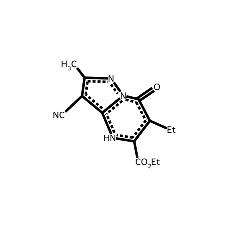 CCOC(=O)c1[nH]c2c(C#N)c(C)nn2c(=O)c1CC